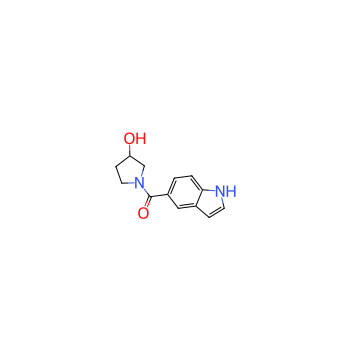 O=C(c1ccc2[nH]ccc2c1)N1CCC(O)C1